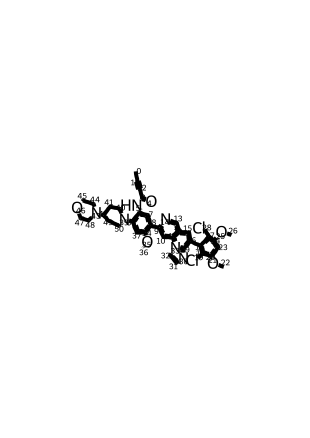 CC#CC(=O)Nc1cc(-c2cc3c(cn2)cc(-c2c(Cl)c(OC)cc(OC)c2Cl)c2nccn23)c(OC)cc1N1CCC(N2CCOCC2)CC1